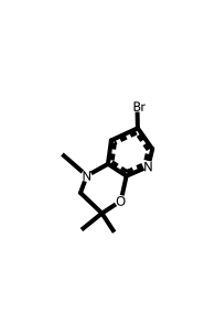 CN1CC(C)(C)Oc2ncc(Br)cc21